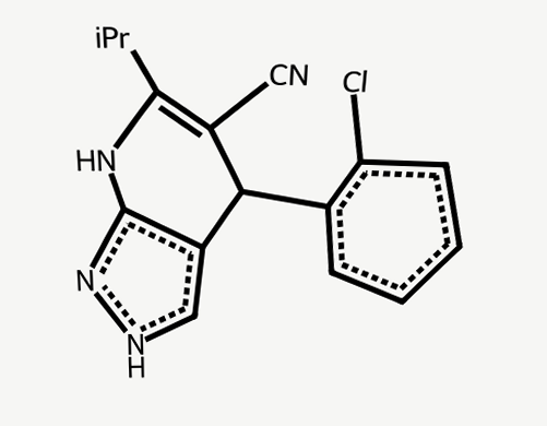 CC(C)C1=C(C#N)C(c2ccccc2Cl)c2c[nH]nc2N1